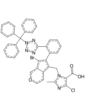 Cc1nc(Cl)c(C(=O)O)n1Cc1c2ccocc-2c(Br)c1-c1ccccc1-c1nnn(C(c2ccccc2)(c2ccccc2)c2ccccc2)n1